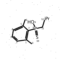 Cc1cccc(C)c1P(O)(=S)CC(C)C